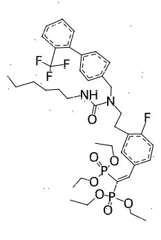 CCCCCCNC(=O)N(CCc1cc(C=C(P(=O)(OCC)OCC)P(=O)(OCC)OCC)ccc1F)Cc1ccc(-c2ccccc2C(F)(F)F)cc1